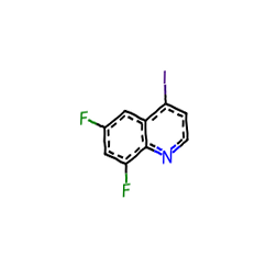 Fc1cc(F)c2nccc(I)c2c1